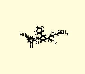 C#Cc1c[nH]c(C(=O)Nc2ccc(C(=C)CNCCOC)cc2C2=CCCCC2)n1